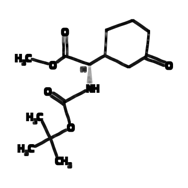 COC(=O)[C@@H](NC(=O)OC(C)(C)C)C1CCCC(=O)C1